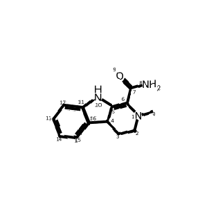 CN1CCC2C(=C1C(N)=O)Nc1c[c]ccc12